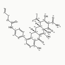 C=CCOC(=O)Nc1ccc(-c2ccc(O)c3c2C[C@@H]2C[C@@H]4[C@@H](N(C)C)C(O)=C(C(N)=O)C(=O)[C@]4(O)C(O)=C2C3=O)cc1